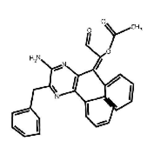 CC(=O)OC(C=O)=C(c1ccccc1)c1nc(N)c(Cc2ccccc2)nc1-c1ccccc1